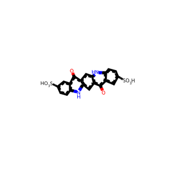 O=c1c2cc(S(=O)(=O)O)ccc2[nH]c2cc3c(=O)c4cc(S(=O)(=O)O)ccc4[nH]c3cc12